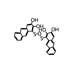 Oc1cc2cc3ccccc3cc2c(SOSc2c(O)c(O)cc3cc4ccccc4cc23)c1O